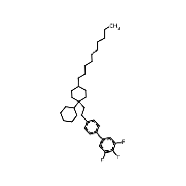 CCCCCCCCCC[C@H]1CC[C@](CCc2ccc(-c3cc(F)c(F)c(F)c3)cc2)(C2CCCCC2)CC1